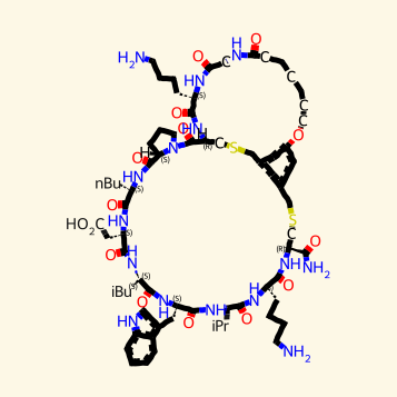 CCCC[C@@H]1NC(=O)[C@@H]2CCCN2C(=O)[C@@H]2CSCc3cc(cc(c3)OCCCCCCC(=O)NCC(=O)N[C@@H](CCCCN)C(=O)N2)CSC[C@@H](C(N)=O)NC(=O)[C@H](CCCCN)NC(=O)C(C(C)C)NC(=O)[C@H](Cc2c[nH]c3ccccc23)NC(=O)[C@H]([C@@H](C)CC)NC(=O)[C@H](CC(=O)O)NC1=O